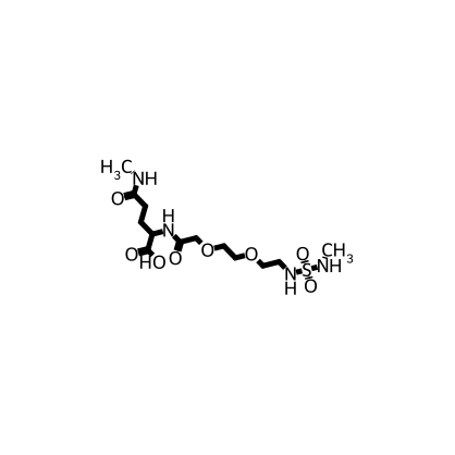 CNC(=O)CCC(NC(=O)COCCOCCNS(=O)(=O)NC)C(=O)O